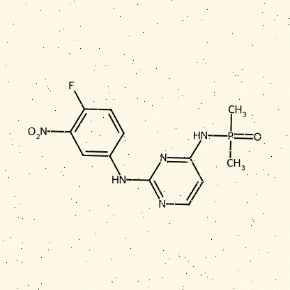 CP(C)(=O)Nc1ccnc(Nc2ccc(F)c([N+](=O)[O-])c2)n1